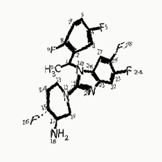 CC(c1cc(F)ccc1F)n1c(N2CC[C@@H](F)[C@H](N)C2)nc2cc(F)c(F)cc21